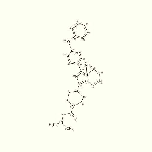 CN(C)CC(=O)N1CCC(C2=C3C=NC=C[N+]3(N)C(c3ccc(Oc4ccccc4)cc3)=N2)CC1